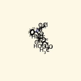 CC(=O)OCC1=C(C(=O)O)N2C(=O)[C@@H](NC(=O)/C(=N\OC(=O)CCl)c3ccccc3)[C@H]2SC1